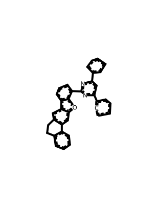 c1ccc(-c2cc(-c3ccccc3)nc(-c3cccc4c3oc3cc5c(cc34)CCc3ccccc3-5)n2)cc1